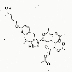 CC(=O)OC[C@H]1O[C@@H](Oc2n[nH]c(C(C)C)c2Cc2ccc(OCCCCO)cc2)[C@H](OC(C)=O)[C@@H](OC(C)=O)[C@@H]1OC(C)=O